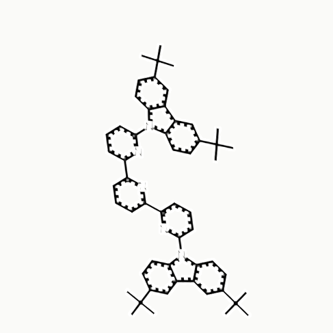 CC(C)(C)c1ccc2c(c1)c1cc(C(C)(C)C)ccc1n2-c1cccc(-c2cccc(-c3cccc(-n4c5ccc(C(C)(C)C)cc5c5cc(C(C)(C)C)ccc54)n3)n2)n1